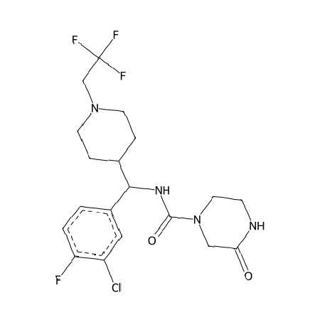 O=C1CN(C(=O)NC(c2ccc(F)c(Cl)c2)C2CCN(CC(F)(F)F)CC2)CCN1